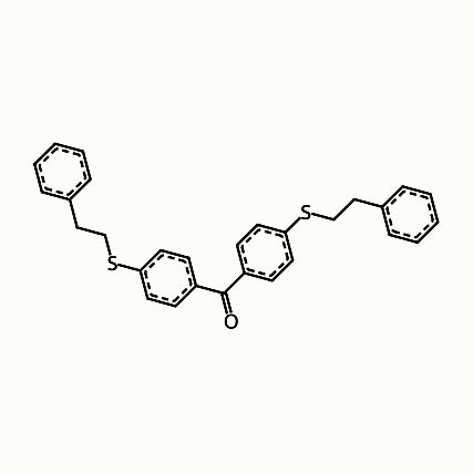 O=C(c1ccc(SCCc2ccccc2)cc1)c1ccc(SCCc2ccccc2)cc1